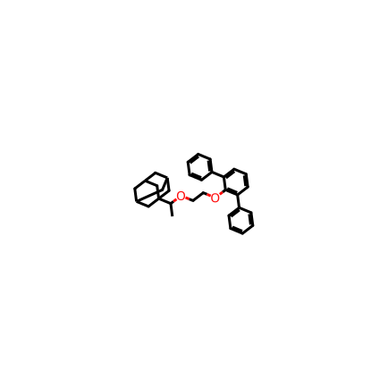 CC(OCCOc1c(-c2ccccc2)cccc1-c1ccccc1)C12CC3CC(CC(C3)C1)C2